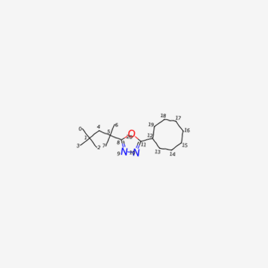 CC(C)(C)CC(C)(C)c1nnc(C2CCCCCCC2)o1